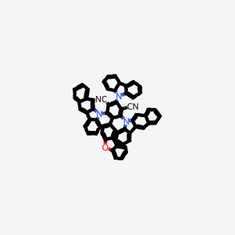 N#Cc1c(N2c3ccccc3C3C=CC=CC32)c(C#N)c(-n2c3ccccc3c3cc4ccccc4cc32)c(-c2ccc3oc4ccccc4c3c2)c1-n1c2ccccc2c2cc3ccccc3cc21